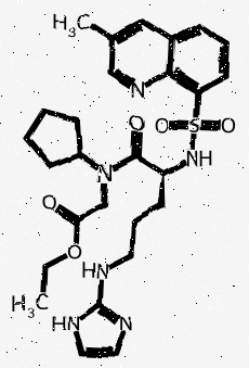 CCOC(=O)CN(C(=O)[C@H](CCCNc1ncc[nH]1)NS(=O)(=O)c1cccc2cc(C)cnc12)C1CCCC1